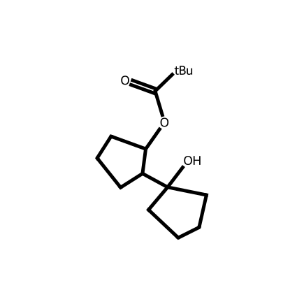 CC(C)(C)C(=O)OC1CCCC1C1(O)CCCC1